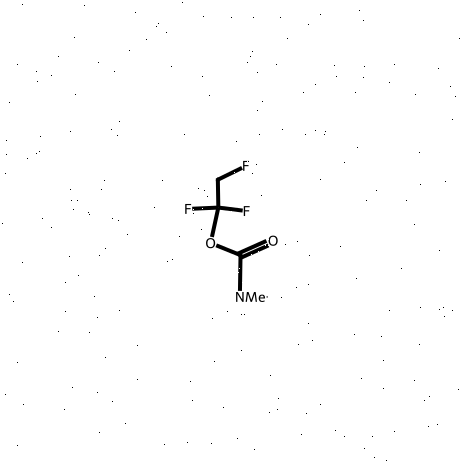 C[N]C(=O)OC(F)(F)CF